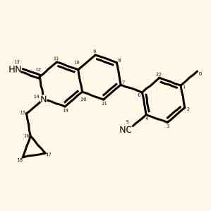 Cc1ccc(C#N)c(-c2ccc3cc(=N)n(CC4CC4)cc3c2)c1